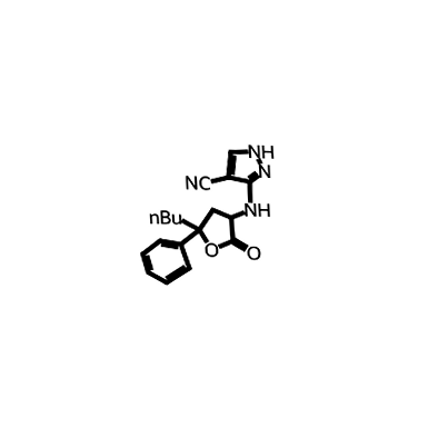 CCCCC1(c2ccccc2)CC(Nc2n[nH]cc2C#N)C(=O)O1